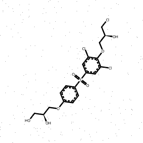 O=S(=O)(c1ccc(OC[C@@H](O)CO)cc1)c1cc(Cl)c(OC[C@H](O)CCl)c(Cl)c1